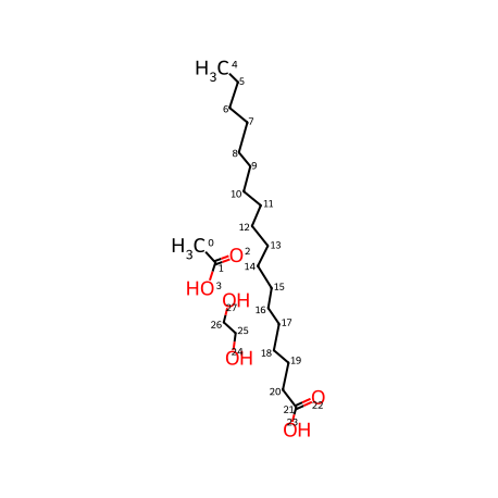 CC(=O)O.CCCCCCCCCCCCCCCCCC(=O)O.OCCO